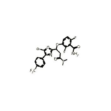 CN(C)C(=O)CC(Oc1ccc(F)c(C(N)=O)c1F)c1nc(-c2ccc(C(F)(F)F)cc2)c(Br)o1